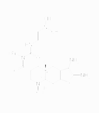 CCCN(C(=O)NCCN(C)C)C(=O)[C@@H]1C[C@@H]2Cc3c(sc(N)c3N)C[C@H]2N(C)C1